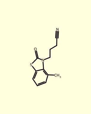 Cc1cccc2sc(=O)n(CCCC#N)c12